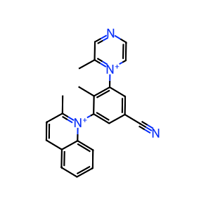 Cc1c(-[n+]2ccncc2C)cc(C#N)cc1-[n+]1c(C)ccc2ccccc21